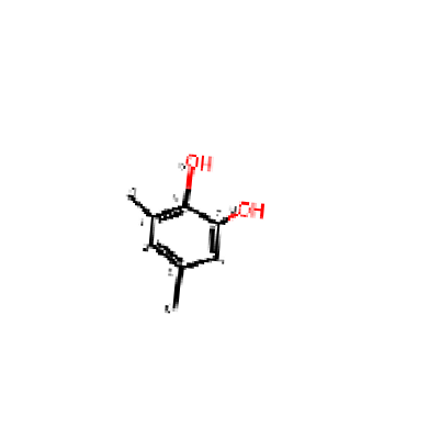 Cc1[c]c(C)c(O)c(O)c1